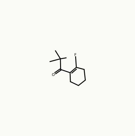 CC(C)(C)C(=O)C1=C(F)CCCC1